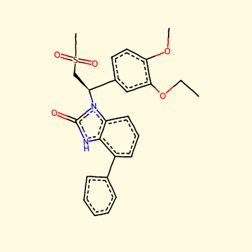 CCOc1cc([C@H](CS(C)(=O)=O)n2c(=O)[nH]c3c(-c4ccccc4)cccc32)ccc1OC